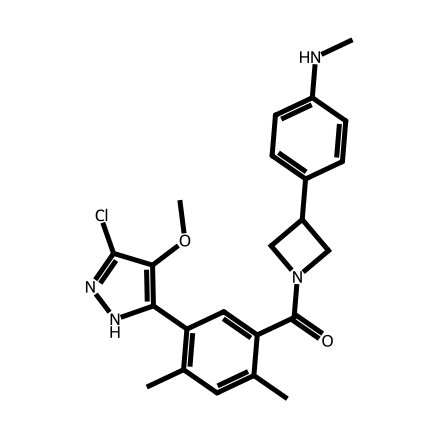 CNc1ccc(C2CN(C(=O)c3cc(-c4[nH]nc(Cl)c4OC)c(C)cc3C)C2)cc1